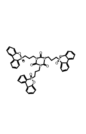 O=c1n(CCCP2(=O)Oc3ccccc3-c3ccccc32)c(=O)n(CCCP2(=O)Oc3ccccc3-c3ccccc32)c(=O)n1CCCP1(=O)Oc2ccccc2-c2ccccc21